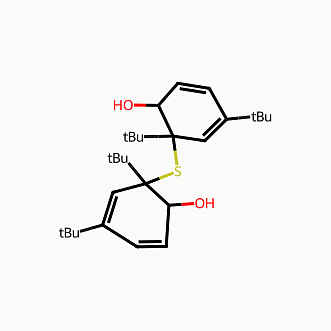 CC(C)(C)C1=CC(SC2(C(C)(C)C)C=C(C(C)(C)C)C=CC2O)(C(C)(C)C)C(O)C=C1